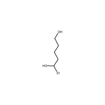 [CH2]CC(O)CCC[CH]O